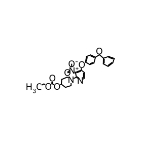 CCOC(=O)OC1CCN(c2nccc(Oc3ccc(C(=O)c4ccccc4)cc3)c2[N+](=O)[O-])CC1